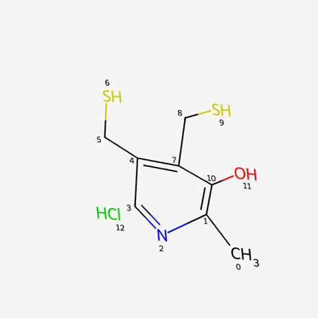 Cc1ncc(CS)c(CS)c1O.Cl